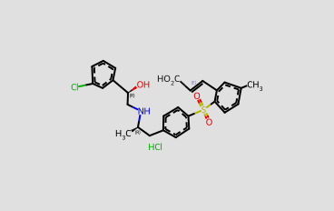 Cc1ccc(S(=O)(=O)c2ccc(C[C@@H](C)NC[C@H](O)c3cccc(Cl)c3)cc2)c(/C=C/C(=O)O)c1.Cl